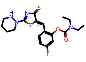 CCN(CC)C(=O)Oc1cc(F)ccc1/C=C1\SC(N2CCCCN2)=NC1=S